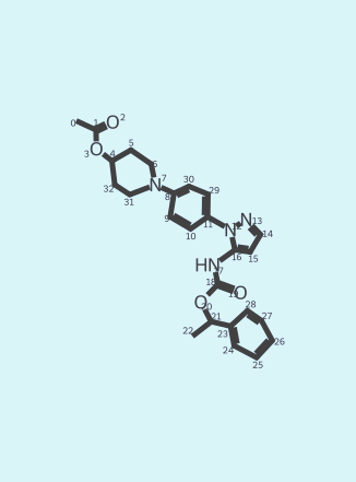 CC(=O)OC1CCN(c2ccc(-n3nccc3NC(=O)OC(C)c3ccccc3)cc2)CC1